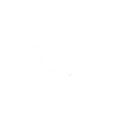 [SiH3]C(c1ccccc1)c1ccc(Oc2ccccc2)cc1